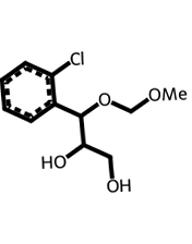 COCOC(c1ccccc1Cl)C(O)CO